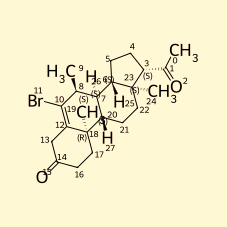 CC(=O)[C@H]1CC[C@H]2[C@@H]3[C@H](C)C(Br)=C4CC(=O)CC[C@]4(C)[C@H]3CC[C@]12C